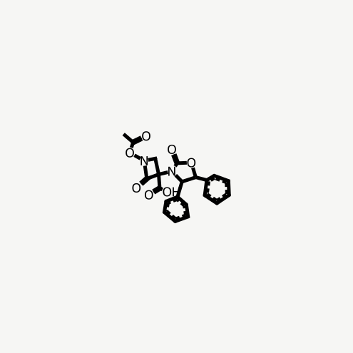 CC(=O)ON1CC(C(=O)O)(N2C(=O)OC(c3ccccc3)C2c2ccccc2)C1=O